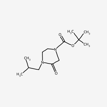 CC(C)CN1CCN(C(=O)OC(C)(C)C)CC1=O